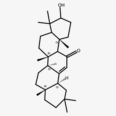 CC1(C)CC[C@]2(C)CC[C@]3(C)C(=CC(=O)C4[C@@]5(C)CC[C](O)C(C)(C)C5CC[C@]43C)[C@H]2C1